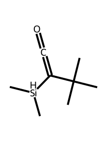 C[SiH](C)C(=C=O)C(C)(C)C